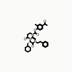 CC(=O)c1ccc(OC(=O)N2CCC(=O)N3C2=CN(CCc2ccccc2)C(=O)[C@@H]3CC2CCCCC2)c(C)c1